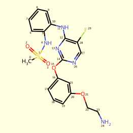 CS(=O)(=O)Nc1ccccc1Nc1nc(Oc2cccc(OCCN)c2)ncc1F